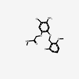 CNC(=O)COc1cc(Cl)c(N)cc1OCc1c(F)cccc1OC